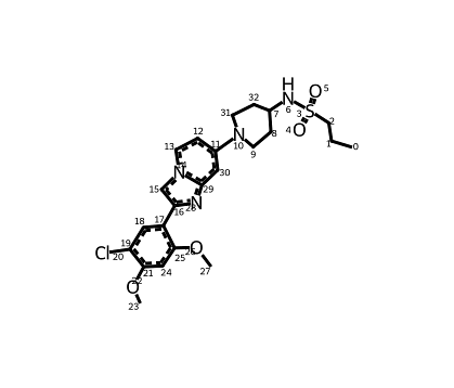 CCCS(=O)(=O)NC1CCN(c2ccn3cc(-c4cc(Cl)c(OC)cc4OC)nc3c2)CC1